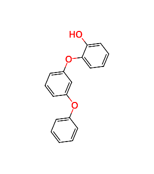 Oc1ccccc1Oc1cccc(Oc2ccccc2)c1